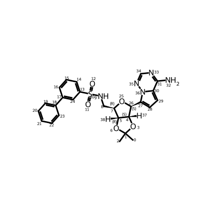 CC1(C)O[C@@H]2[C@H](O1)[C@@H](CNS(=O)(=O)c1cccc(-c3ccccc3)c1)O[C@H]2c1ccc2c(N)ncnn12